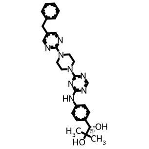 CC(C)(O)[C@@H](O)c1ccc(Nc2ncnc(N3CCN(c4ncc(Cc5ccccc5)cn4)CC3)n2)cc1